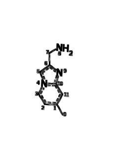 Cc1ccn2cc(CN)nc2c1